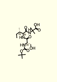 CC[C@H](C)[C@H](NC(=O)[C@H](CO)NC(=O)OC(C)(C)C)C(=O)NC(C)(C)C(=O)O